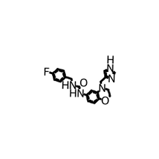 O=C(NCc1ccc(F)cc1)Nc1ccc2c(c1)N(Cc1c[nH]cn1)CCO2